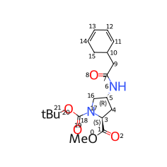 COC(=O)[C@@H]1C[C@@H](NC(=O)CC2C=CC=CC2)CN1C(=O)OC(C)(C)C